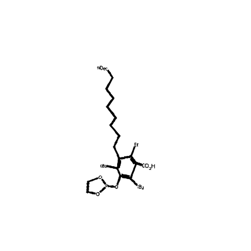 CCCCCCCCCCCCCCCCCCc1c(CC)c(C(=O)O)c(C(C)(C)C)c(OP2OCCO2)c1C(C)(C)C